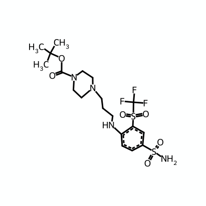 CC(C)(C)OC(=O)N1CCN(CCCNc2ccc(S(N)(=O)=O)cc2S(=O)(=O)C(F)(F)F)CC1